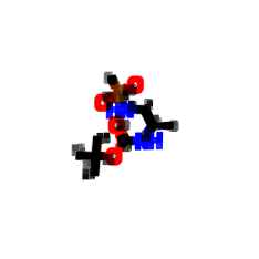 C[C@H](CNS(C)(=O)=O)NC(=O)OC(C)(C)C